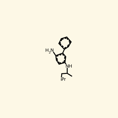 CC(C)CC(C)Nc1ccc(N)c(-c2ccccc2)c1